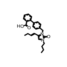 CCC=Cc1cn(CCCC)c(=O)n1Cc1ccc(-c2ccccc2C(=O)O)cc1